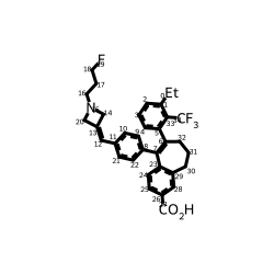 CCc1cccc(C2=C(c3ccc(C=C4CN(CCCF)C4)cc3)c3ccc(C(=O)O)cc3CCC2)c1C(F)(F)F